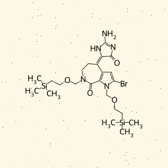 C[Si](C)(C)CCOCN1CCC(=C2NC(N)=NC2=O)c2cc(Br)n(COCC[Si](C)(C)C)c2C1=O